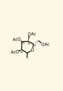 CC(=O)OC[C@@H]1OC(C)[C@@H](OC(C)=O)[C@H](OC(C)=O)[C@H]1OC(C)=O